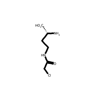 N[C@H](CCNC(=O)CCl)C(=O)O